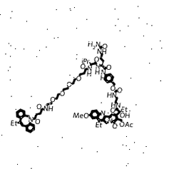 CC/C1=C/c2ccccc2N(C(=O)CCC(=O)NCCOCCOCCOCCOCCC(=O)N[C@H](C(=O)N[C@@H](CCCNC(N)=O)C(=O)Nc2ccc(COC(=O)NCCNC(=O)[C@](O)(CC)c3cc4n(c(=O)c3COC(C)=O)Cc3c-4nc4ccc(OC)cc4c3CC)cc2)C(C)C)Cc2ccccc21